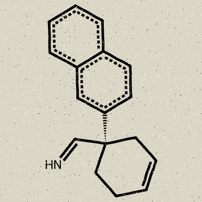 N=C[C@@]1(c2ccc3ccccc3c2)CC=CCC1